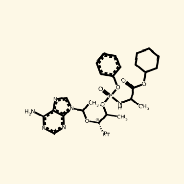 CC(NP(=O)(Oc1ccccc1)OC(C)[C@@H](OC(C)n1cnc2c(N)ncnc21)C(C)C)C(=O)OC1CCCCC1